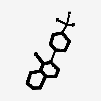 O=c1c2ccccc2ccn1-c1ccc(C(F)(F)F)cc1